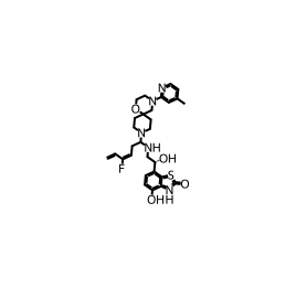 C=C/C(F)=C\CC(NC[C@H](O)c1ccc(O)c2[nH]c(=O)sc12)N1CCC2(CC1)CN(c1cc(C)ccn1)CCO2